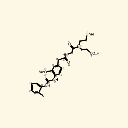 COCCN(CCC(=O)O)C(=O)CNC(=O)Cc1ccc(NC(=O)Nc2ccccc2C)c(OC)c1